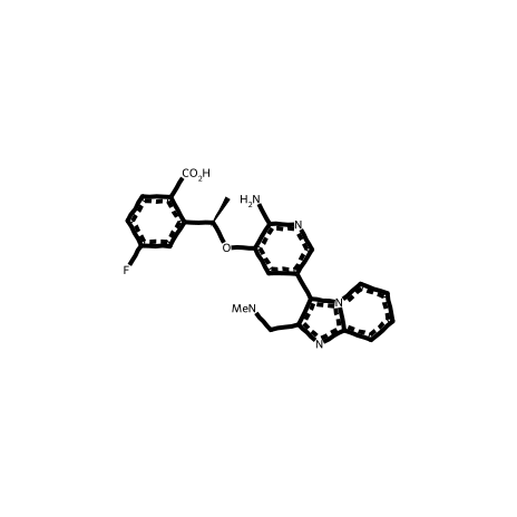 CNCc1nc2ccccn2c1-c1cnc(N)c(O[C@H](C)c2cc(F)ccc2C(=O)O)c1